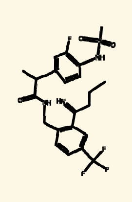 CCCC(=N)c1cc(C(F)(F)F)ccc1CNC(=O)C(C)c1ccc(NS(C)(=O)=O)c(F)c1